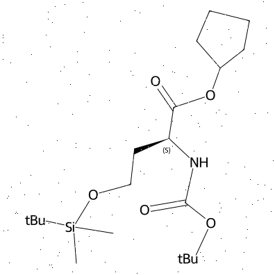 CC(C)(C)OC(=O)N[C@@H](CCO[Si](C)(C)C(C)(C)C)C(=O)OC1CCCC1